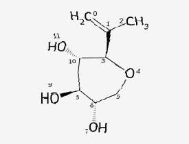 C=C(C)[C@H]1OC[C@H](O)[C@@H](O)[C@@H]1O